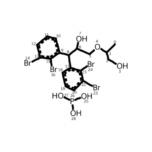 CC(CO)OCC(O)C(c1cccc(Br)c1Br)c1cccc(Br)c1Br.OP(O)O